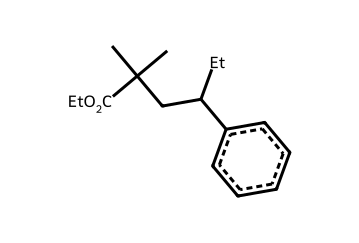 CCOC(=O)C(C)(C)CC(CC)c1ccccc1